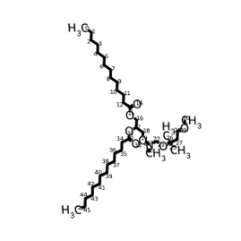 CCCCCCCCCCCCCC(=O)OCC(CON(C)COC(C)(C)CCOC)OC(=O)CCCCCCCCCCCCC